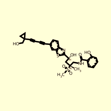 C[C@](CNC(=O)c1ccccc1O)(C[C@@H](O)c1nc2ccc(C#CC#CC3(CO)CC3)cc2s1)S(C)(=O)=O